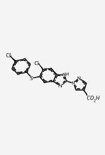 O=C(O)c1cnn(-c2nc3cc(Sc4ccc(Cl)cc4)c(Cl)cc3[nH]2)c1